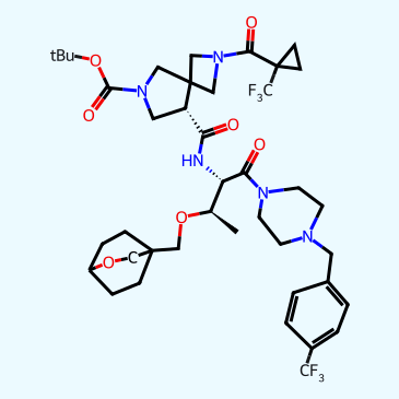 C[C@@H](OCC12CCC(CC1)OC2)[C@H](NC(=O)[C@@H]1CN(C(=O)OC(C)(C)C)CC12CN(C(=O)C1(C(F)(F)F)CC1)C2)C(=O)N1CCN(Cc2ccc(C(F)(F)F)cc2)CC1